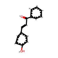 O=C(C=Cc1ccc(O)cc1)c1cc[c]cc1